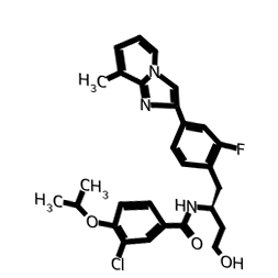 Cc1cccn2cc(-c3ccc(C[C@@H](CCO)NC(=O)c4ccc(OC(C)C)c(Cl)c4)c(F)c3)nc12